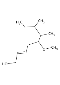 CCC(C)C(C)C(C/C=C/CO)OC